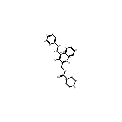 Cc1c(COC(=O)N2CCOCC2)nc2ccccc2c1OCc1ccccc1